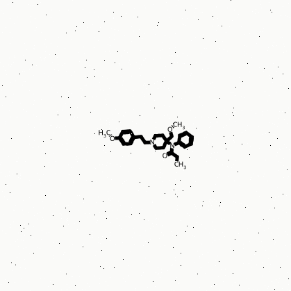 CCC(=O)N(c1ccccc1)C1(COC)CCN(CCc2ccc(OC)cc2)CC1